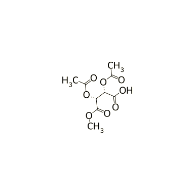 COC(=O)[C@H](OC(C)=O)[C@H](OC(C)=O)C(=O)O